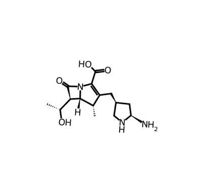 C[C@@H](O)[C@H]1C(=O)N2C(C(=O)O)=C(C[C@@H]3CN[C@H](N)C3)[C@H](C)[C@H]12